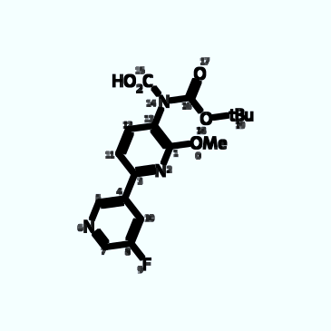 COc1nc(-c2cncc(F)c2)ccc1N(C(=O)O)C(=O)OC(C)(C)C